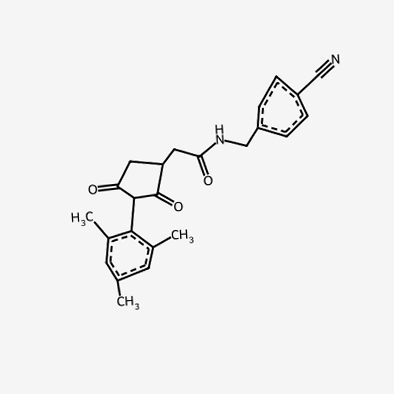 Cc1cc(C)c(C2C(=O)CC(CC(=O)NCc3ccc(C#N)cc3)C2=O)c(C)c1